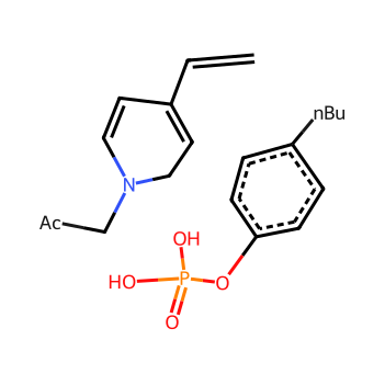 C=CC1=CCN(CC(C)=O)C=C1.CCCCc1ccc(OP(=O)(O)O)cc1